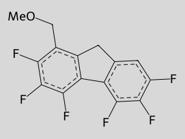 COCc1c(F)c(F)c(F)c2c1Cc1cc(F)c(F)c(F)c1-2